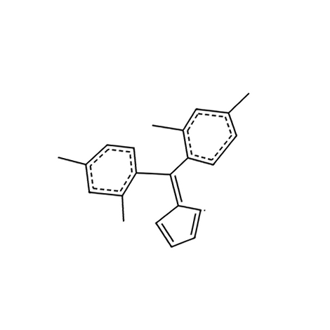 Cc1ccc(C(=C2[C]=CC=C2)c2ccc(C)cc2C)c(C)c1